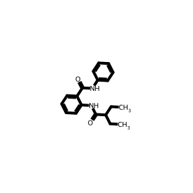 CCC(CC)C(=O)Nc1ccccc1C(=O)Nc1ccccc1